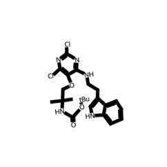 CC(C)(COc1c(Cl)nc(Cl)nc1NCCc1c[nH]c2ccccc12)NC(=O)OC(C)(C)C